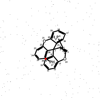 Pc1cccc2c1C1(c3ccccc3O2)c2ccccc2Oc2cccc(P)c21